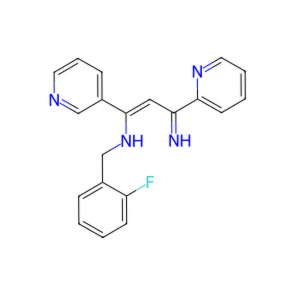 N=C(/C=C(\NCc1ccccc1F)c1cccnc1)c1ccccn1